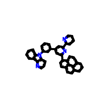 c1ccc(-c2cc(-c3cccc(-n4c5ccccc5c5ncccc54)c3)cc(-c3ccc4ccc5cccc6ccc3c4c56)n2)nc1